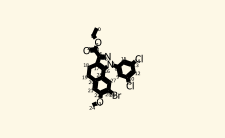 CCOC(=O)c1nn(-c2cc(Cl)cc(Cl)c2)c2c1CCc1cc(OC)c(Br)cc1-2